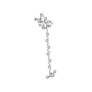 CC(C)[C@@H](C)NC(=O)C(C)(C)NC(=O)CCOCCOCCOCCOCCOCCOCCN1C(=O)C=CC1=O